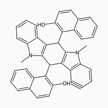 Cn1c2c(c3c#cccc31)C(c1c(O)ccc3ccccc13)c1c(c3ccccc3n1C)C2c1c(O)ccc2ccccc12